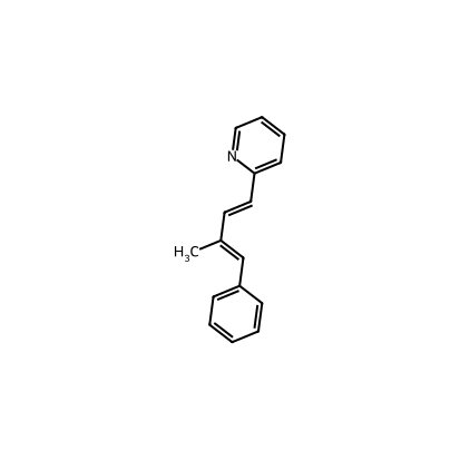 CC(C=Cc1ccccn1)=Cc1ccccc1